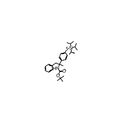 CC(C)[Si](Sc1ccc(C(C)(Cc2ccccc2)NC(=O)OC(C)(C)C)cc1)(C(C)C)C(C)C